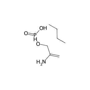 C=C(N)CO[PH](=O)O.CCCC